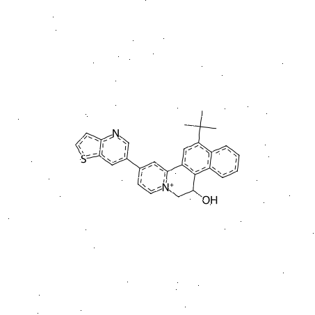 CC(C)(C)c1cc2c(c3ccccc13)C(O)C[n+]1ccc(-c3cnc4ccsc4c3)cc1-2